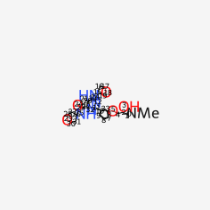 CNCC(O)COc1cccc(-c2nc(NC3CCOC3)c(C)c(C(=O)NC3CCOCC3)n2)c1